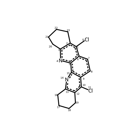 Clc1c2c(nc3c1ccc1c(Cl)c4c(nc13)CCCC4)CCCC2